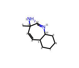 CC1(N)C=CC2CCCCC2N=C1